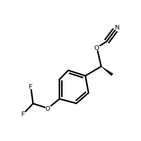 C[C@H](OC#N)c1ccc(OC(F)F)cc1